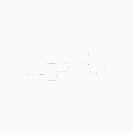 Cc1ccc(S(=O)(=O)N2CC3NCCC[C@@H]3C2)cc1